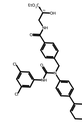 CCOC(=O)[C@@H](O)CNC(=O)c1ccc(CN(C(=O)Nc2cc(Cl)cc(Cl)c2)c2ccc(C3=CCCCC3)cc2)cc1